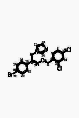 Clc1ccc(CON=C(Cn2ccnc2)c2ccc(Br)cc2)c(Cl)c1